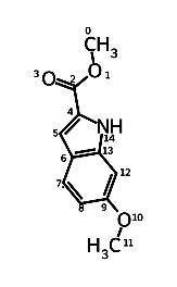 COC(=O)c1cc2[c]cc(OC)cc2[nH]1